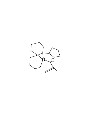 C=C(C)C(=O)OC1(C2CCCC2)CCCCC12CCCCC2